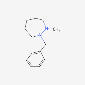 CN1CCCCCN1[CH]c1ccccc1